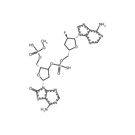 COP(=O)(S)OC[C@H]1O[C@@H](n2c(=O)sc3c(N)ncnc32)CC1OP(=O)(S)OC[C@@H]1C[C@@H](F)[C@H](n2cnc3c(N)ncnc32)O1